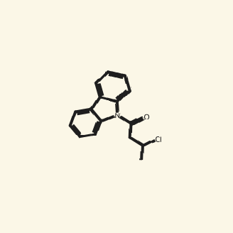 CC(Cl)CC(=O)n1c2ccccc2c2ccccc21